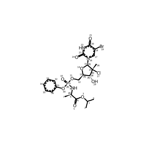 CC(C)OC(=O)[C@@H](C)N[P@@](=O)(OC[C@H]1O[C@@H](n2cc(Br)c(=O)[nH]c2=O)[C@](C)(Cl)[C@@H]1O)Oc1ccccc1